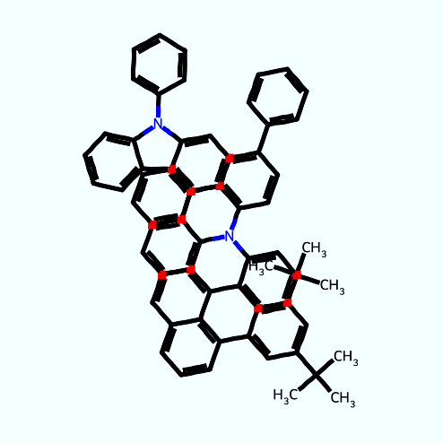 CC(C)(C)c1cc(-c2cccc3cccc(-c4ccccc4N(c4ccc(-c5ccccc5)cc4-c4ccccc4)c4ccccc4-c4cccc5c4c4ccccc4n5-c4ccccc4)c23)cc(C(C)(C)C)c1